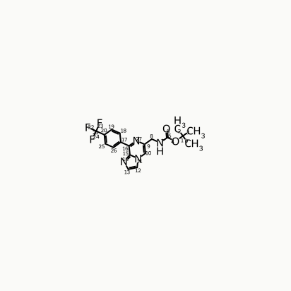 CC(C)(C)OC(=O)NCc1cn2ccnc2c(-c2ccc(C(F)(F)F)cc2)n1